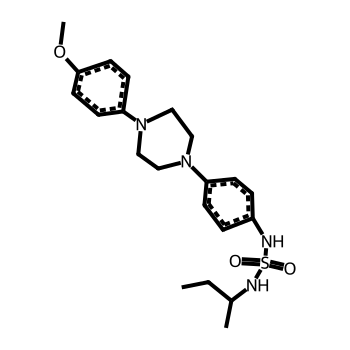 CCC(C)NS(=O)(=O)Nc1ccc(N2CCN(c3ccc(OC)cc3)CC2)cc1